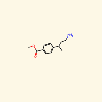 COC(=O)c1ccc(C(C)CCN)cc1